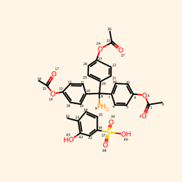 CC(=O)Oc1ccc(C(P)(c2ccc(OC(C)=O)cc2)c2ccc(OC(C)=O)cc2)cc1.Cc1ccc(S(=O)(=O)O)cc1O